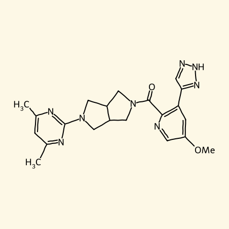 COc1cnc(C(=O)N2CC3CN(c4nc(C)cc(C)n4)CC3C2)c(-c2cn[nH]n2)c1